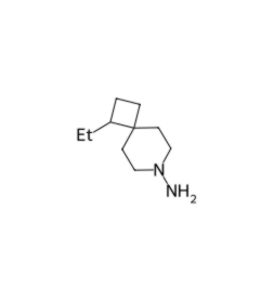 CCC1CCC12CCN(N)CC2